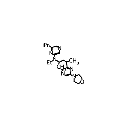 CCN(c1cncc(C(C)C)n1)C(C)CC(C)c1cncc(N2CCOCC2)n1